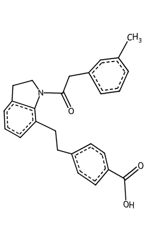 Cc1cccc(CC(=O)N2CCc3cccc(CCc4ccc(C(=O)O)cc4)c32)c1